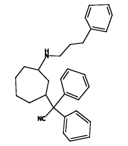 N#CC(c1ccccc1)(c1ccccc1)C1CCCCC(NCCCc2ccccc2)C1